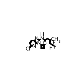 CC(CC(=O)Nc1nc2ccc(Cl)nc2n1C1=CC=C1)CC(F)(F)F